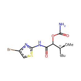 CO[C@H](C(OC(N)=O)C(=O)Nc1nc(Br)cs1)C(C)(C)C